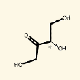 O=C(CO)[C@@H](O)CO